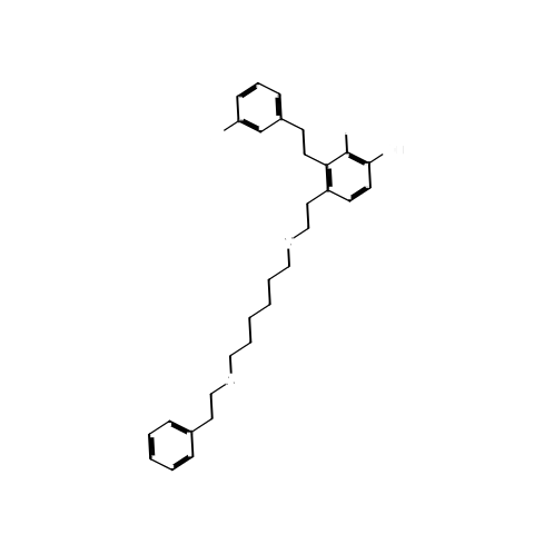 Cc1cccc(CCc2c(CCNCCCCCCNCCc3ccccc3)ccc(O)c2O)c1